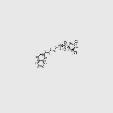 O=S(=O)(NCCCCCCN1CCc2ccccc2C1)c1cc(Cl)cc(Cl)c1